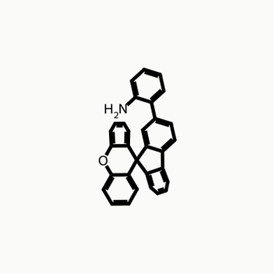 Nc1ccccc1-c1ccc2c(c1)C1(c3ccccc3Oc3ccccc31)c1ccccc1-2